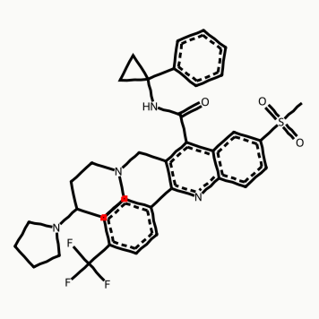 CS(=O)(=O)c1ccc2nc(-c3ccc(C(F)(F)F)cc3)c(CN3CCC(N4CCCC4)CC3)c(C(=O)NC3(c4ccccc4)CC3)c2c1